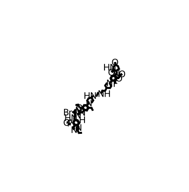 CCOc1cc(N2CCC(NCCNCCC3CCN(c4ccc5c(oc(=O)n5C5CCC(=O)NC5=O)c4F)CC3)CC2)c(CC)cc1Nc1ncc(Br)c(Nc2ccc3nc(CC)ncc3c2P(C)(C)=O)n1